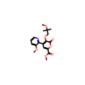 COC(=O)c1cc(-c2ncccc2OC)c(OCC(C)(C)OC)c(=O)o1